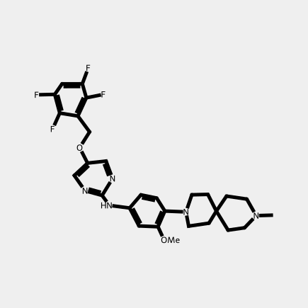 COc1cc(Nc2ncc(OCc3c(F)c(F)cc(F)c3F)cn2)ccc1N1CCC2(CCN(C)CC2)CC1